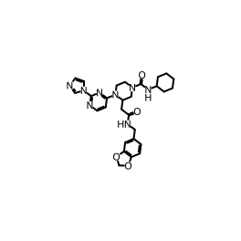 O=C(CC1CN(C(=O)NC2CCCCC2)CCN1c1ccnc(-n2ccnc2)n1)NCc1ccc2c(c1)OCO2